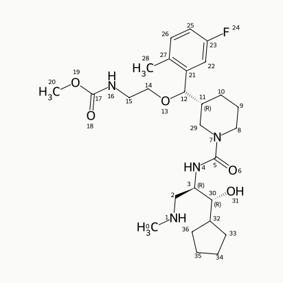 CNC[C@@H](NC(=O)N1CCC[C@@H](C(OCCNC(=O)OC)c2cc(F)ccc2C)C1)[C@H](O)C1CCCC1